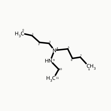 CCCCN(CCCC)NCC